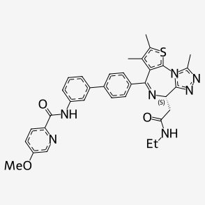 CCNC(=O)C[C@@H]1N=C(c2ccc(-c3cccc(NC(=O)c4ccc(OC)cn4)c3)cc2)c2c(sc(C)c2C)-n2c(C)nnc21